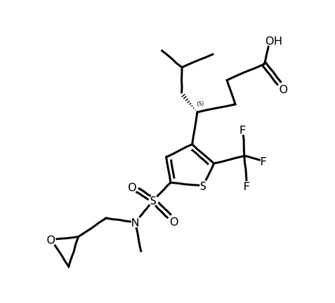 CC(C)C[C@H](CCC(=O)O)c1cc(S(=O)(=O)N(C)CC2CO2)sc1C(F)(F)F